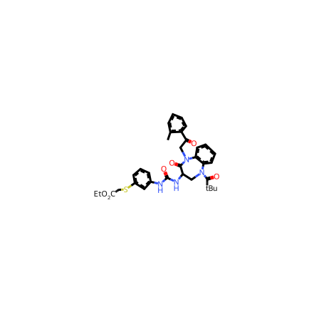 CCOC(=O)CSc1cccc(NC(=O)NC2CN(C(=O)C(C)(C)C)c3ccccc3N(CC(=O)c3ccccc3C)C2=O)c1